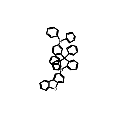 c1ccc(N(c2ccccc2)c2cccc(C(c3ccccc3)(c3ccccc3)c3ccccc3N(c3ccccc3)c3ccc4oc5ccccc5c4c3)c2)cc1